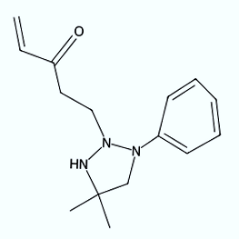 C=CC(=O)CCN1NC(C)(C)CN1c1ccccc1